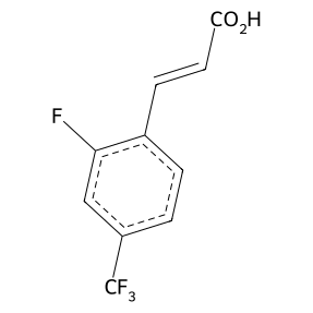 O=C(O)/C=C/c1ccc(C(F)(F)F)cc1F